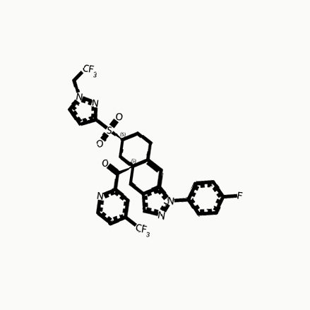 O=C(c1cc(C(F)(F)F)ccn1)[C@]12Cc3cnn(-c4ccc(F)cc4)c3C=C1CC[C@H](S(=O)(=O)c1ccn(CC(F)(F)F)n1)C2